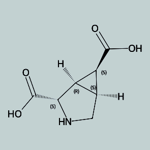 O=C(O)[C@H]1[C@H]2CN[C@H](C(=O)O)[C@H]21